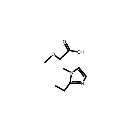 CCc1nccn1C.COCC(=O)O